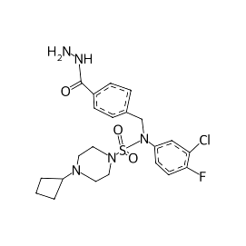 NNC(=O)c1ccc(CN(c2ccc(F)c(Cl)c2)S(=O)(=O)N2CCN(C3CCC3)CC2)cc1